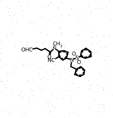 CN(C(=O)CCCC=O)c1ccc(N(Cc2ccccc2)S(=O)(=O)c2ccccc2)cc1C#N